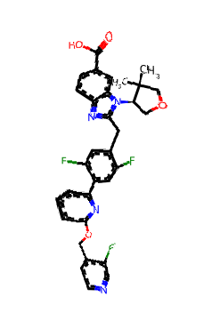 CC1(C)COC[C@H]1n1c(Cc2cc(F)c(-c3cccc(OCc4ccncc4F)n3)cc2F)nc2ccc(C(=O)O)cc21